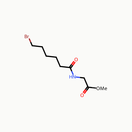 COC(=O)CNC(=O)CCCCCBr